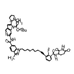 Cc1nn(CCCCCCCC#Cc2cccc(C(=O)N[C@H]3CCC(=O)NC3=O)c2F)c2cc(C(=O)Nc3cc4c(cn3)cc([C@H]3CCCN3C)n4C(=O)OC(C)(C)C)ccc12